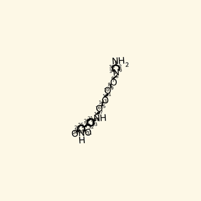 NC1CCN(CCOCCOCCOCCOCCNc2ccc(C3CCC(=O)NC3=O)cc2)CC1